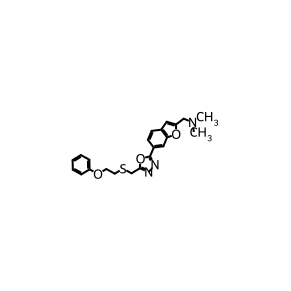 CN(C)Cc1cc2ccc(-c3nnc(CSCCOc4ccccc4)o3)cc2o1